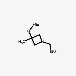 CC(C)(C)CN1CC(C)(OC(C)(C)C)C1